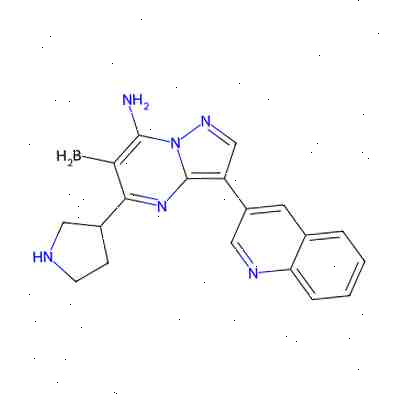 Bc1c(C2CCNC2)nc2c(-c3cnc4ccccc4c3)cnn2c1N